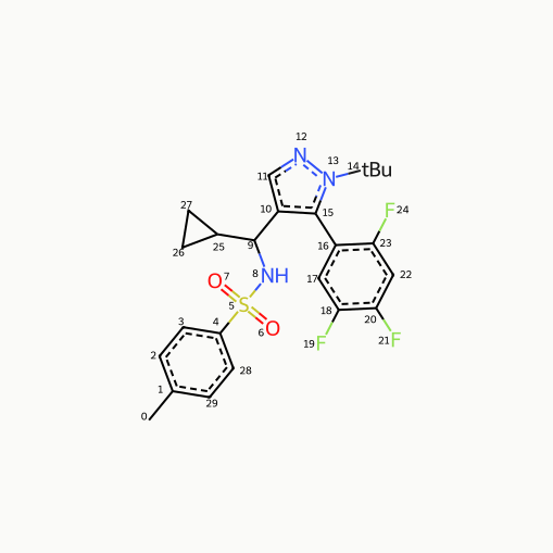 Cc1ccc(S(=O)(=O)NC(c2cnn(C(C)(C)C)c2-c2cc(F)c(F)cc2F)C2CC2)cc1